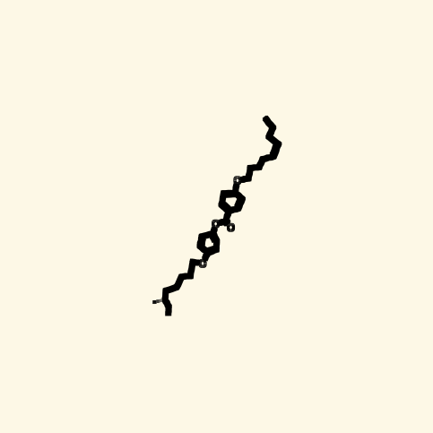 CCC/C=C\CCCCOc1ccc(C(=O)Oc2ccc(OCCCCC[C@@H](C)CC)cc2)cc1